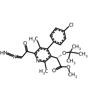 COC(=O)[C@@H](OC(C)(C)C)c1c(C)nc(C(=O)C=[N+]=N)c(C)c1-c1ccc(Cl)cc1